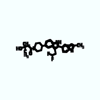 Cc1cn2cc(-c3[nH]c4ccc(C5CCN(C(=O)CC(C)(C)O)CC5)cc4c3CC(F)F)ccc2n1